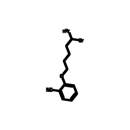 CCCC(Br)CCCCOc1ccccc1C#N